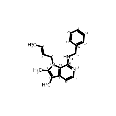 CC=CCn1c(C)c(C)c2ccnc(NCc3ccccc3)c21